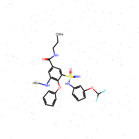 CCCCNc1cc(C(=O)NCCOC)cc(S(=N)(=O)Nc2cccc(OC(F)F)c2)c1Oc1ccccc1